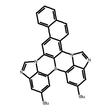 CC(C)(C)c1cc2c3c(c1)ncn3-c1cc3c(ccc4ccccc43)c3c1B2c1cc(C(C)(C)C)cc2ncn-3c12